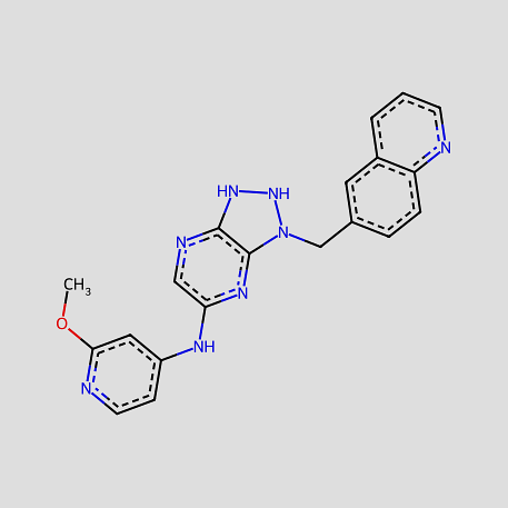 COc1cc(Nc2cnc3c(n2)N(Cc2ccc4ncccc4c2)NN3)ccn1